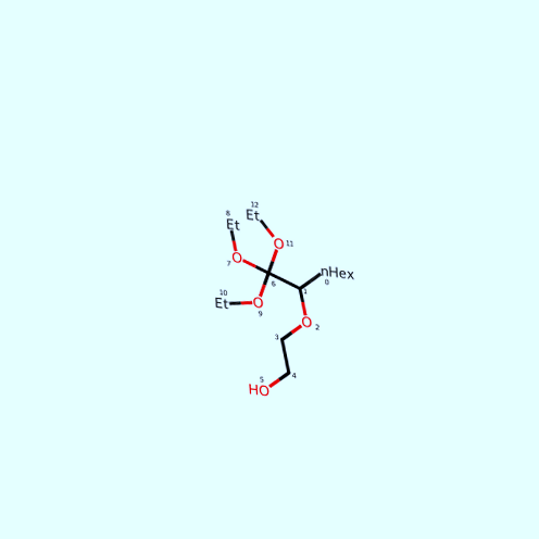 CCCCCCC(OCCO)C(OCC)(OCC)OCC